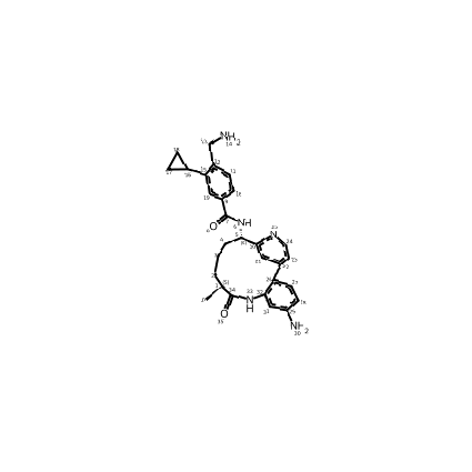 C[C@H]1CCC[C@H](NC(=O)c2ccc(CN)c(C3CC3)c2)c2cc(ccn2)-c2ccc(N)cc2NC1=O